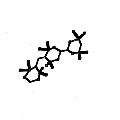 O=S1(=O)CS(=O)(=O)OC(C2OS(=O)(=O)C(CC3S(=O)(=O)OCOS3(=O)=O)S(=O)(=O)O2)O1